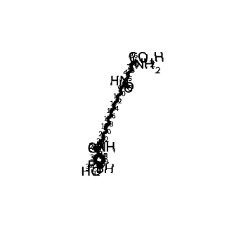 N[C@@H](CCCCNC(=O)CCCCCCCCCCCCCCCNC(=O)c1ccc(BO)c(F)c1)C(=O)O